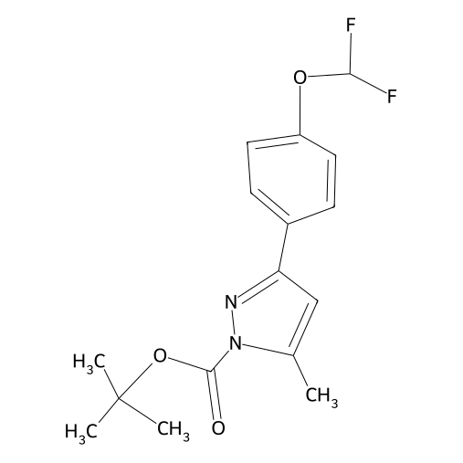 Cc1cc(-c2ccc(OC(F)F)cc2)nn1C(=O)OC(C)(C)C